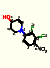 O=[N+]([O-])c1ccc(N2C=CC(O)CC2)c(F)c1F